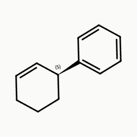 C1=C[C@@H](c2ccccc2)CCC1